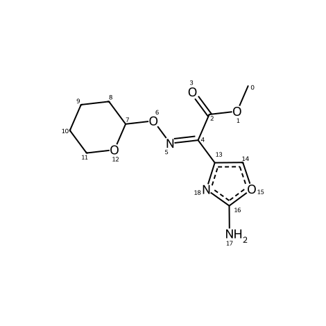 COC(=O)/C(=N\OC1CCCCO1)c1coc(N)n1